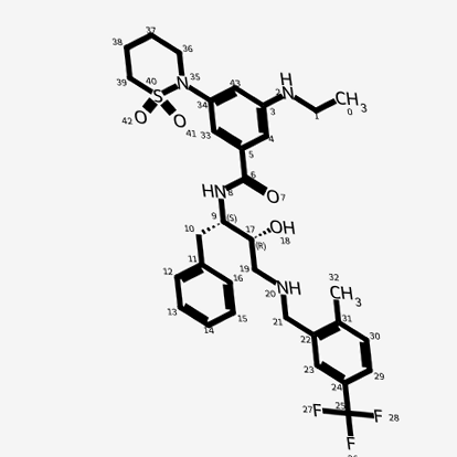 CCNc1cc(C(=O)N[C@@H](Cc2ccccc2)[C@H](O)CNCc2cc(C(F)(F)F)ccc2C)cc(N2CCCCS2(=O)=O)c1